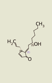 C=CC[C@H]1C=CC(=O)/C1=C/C[C@@H](O)CCCCC